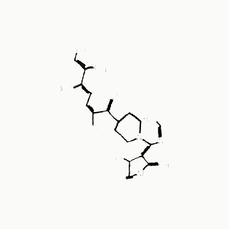 C=C1NC(=O)C(C(C)C)/C1=C(/N=C\C)N1CCC(C(=C)\C(C)=C/C=C(C)/C(C)=C/C(C)CC)CC1